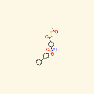 CC(=O)SCC(=O)c1ccc(NS(=O)(=O)c2ccc(-c3ccccc3)cc2)cc1